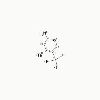 Nc1ccc(C(F)(F)F)cc1.[Te]